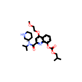 COCCOc1cc(C(=O)N(C(C)C)[C@@H]2CCCNC2)nc2c(OC(=O)OCC(C)C)cccc12